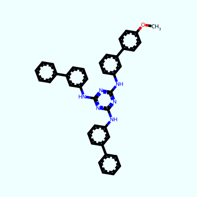 COc1ccc(-c2cccc(Nc3nc(Nc4cccc(-c5ccccc5)c4)nc(Nc4cccc(-c5ccccc5)c4)n3)c2)cc1